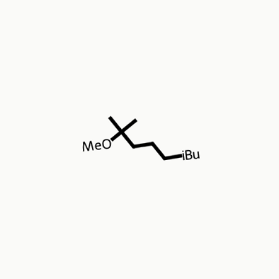 [CH2]CC(C)CCCC(C)(C)OC